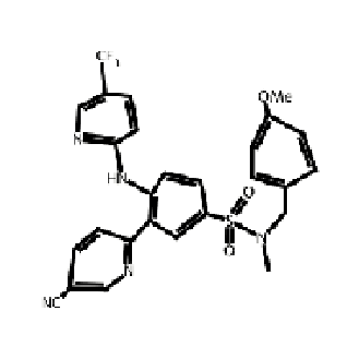 COc1ccc(CN(C)S(=O)(=O)c2ccc(Nc3ccc(C(F)(F)F)cn3)c(-c3ccc(C#N)cn3)c2)cc1